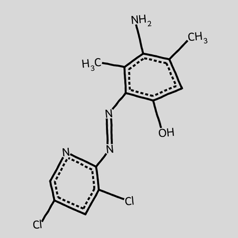 Cc1cc(O)c(N=Nc2ncc(Cl)cc2Cl)c(C)c1N